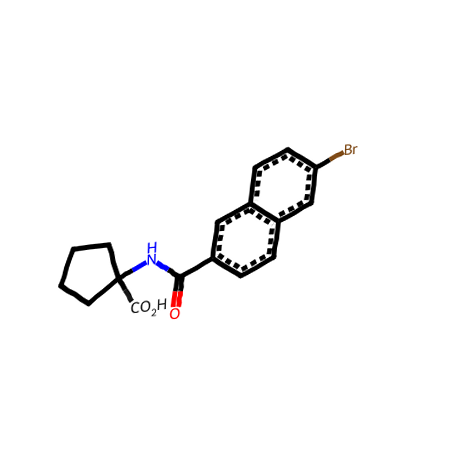 O=C(NC1(C(=O)O)CCCC1)c1ccc2cc(Br)ccc2c1